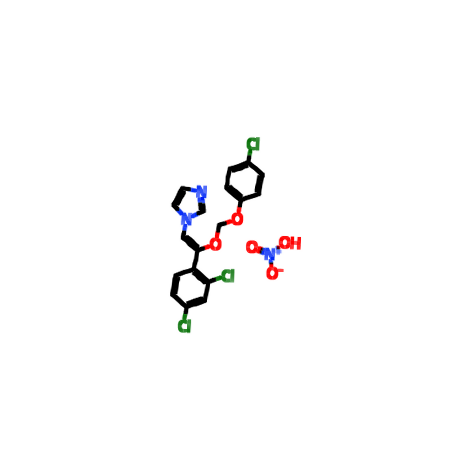 Clc1ccc(OCOC(=Cn2ccnc2)c2ccc(Cl)cc2Cl)cc1.O=[N+]([O-])O